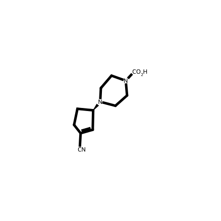 N#CC1=C[C@H](N2CCN(C(=O)O)CC2)CC1